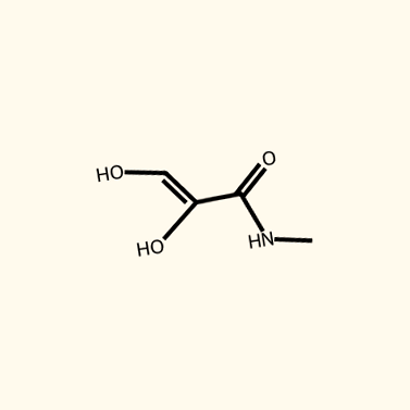 CNC(=O)C(O)=CO